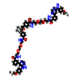 O=C(NCCOCCOCCNC(=O)c1cccc(-c2cc(Nc3ccc(OC(F)(F)F)cc3)ncn2)c1)c1ccc([SiH2]O[SiH2]c2ccc(C(=O)NCCOCCOCCNC(=O)c3cccc(-c4cc(Nc5ccc(OC(F)(F)F)cc5)ncn4)c3)cc2)cc1